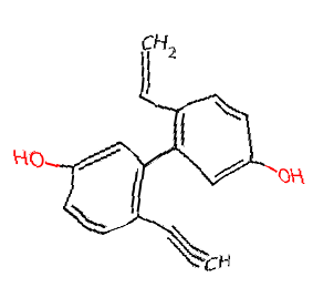 C#Cc1ccc(O)cc1-c1cc(O)ccc1C=C